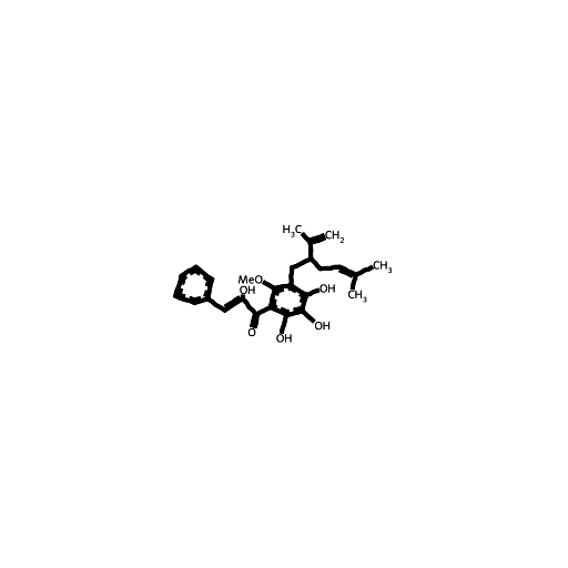 C=C(C)C(CC=C(C)C)Cc1c(O)c(O)c(O)c(C(=O)C(O)=Cc2ccccc2)c1OC